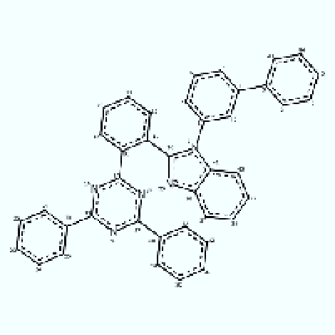 c1ccc(-c2cccc(-n3c(-c4ccccc4-c4nc(-c5ccccc5)nc(-c5ccccc5)n4)nc4ccccc43)c2)cc1